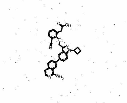 N#Cc1cccc(CC(=O)O)c1OCc1nn(C2CCC2)c2ccc(-c3ccc4ccnc(N)c4c3)cc12